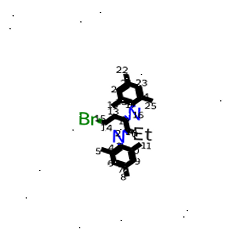 CCC(=Nc1c(C)cc(C)cc1C)C(CCBr)=Nc1c(C)cc(C)cc1C